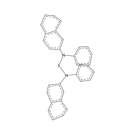 c1ccc(N(SN(c2ccccc2)c2ccc3ccccc3c2)c2ccc3ccccc3c2)cc1